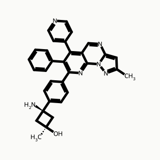 Cc1cc2ncc3c(-c4ccncc4)c(-c4ccccc4)c(-c4ccc([C@]5(N)C[C@@](C)(O)C5)cc4)nc3n2n1